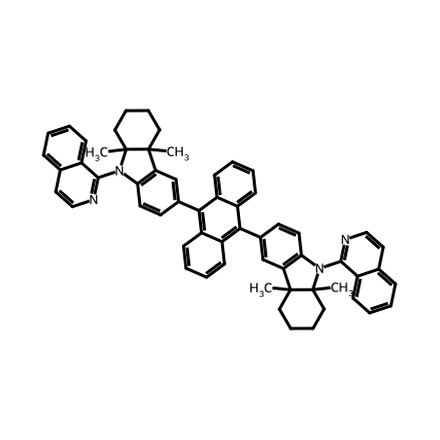 CC12CCCCC1(C)N(c1nccc3ccccc13)c1ccc(-c3c4ccccc4c(-c4ccc5c(c4)C4(C)CCCCC4(C)N5c4nccc5ccccc45)c4ccccc34)cc12